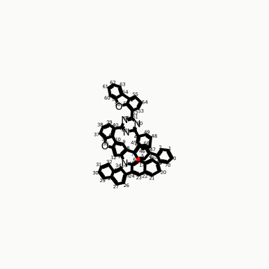 c1ccc(-c2ccc(-c3cc4c(cc3-n3c5cc6ccccc6cc5c5ccc6ccccc6c53)oc3cccc(-c5nc(-c6ccccc6)nc(-c6cccc7c6oc6ccccc67)n5)c34)cc2)cc1